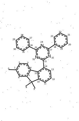 Cc1ccc2c(c1)C(C)(C)c1cccc(-c3nc(-c4ccccc4)nc(-c4ccccc4)n3)c1-2